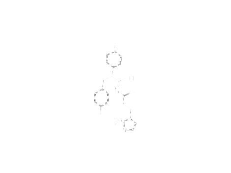 CC(NC(=O)CCc1ccn[nH]1)C(Cc1ccc(Cl)cc1)c1ccc(Cl)cc1